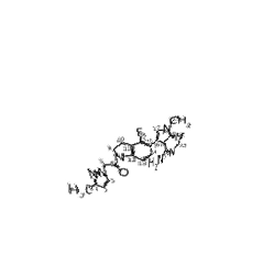 Cc1ccn(CC(=O)N2CCc3c2ccc(-c2cn(C)c4ncnc(N)c24)c3F)n1